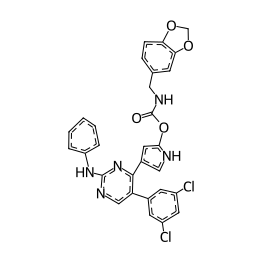 O=C(NCc1ccc2c(c1)OCO2)Oc1cc(-c2nc(Nc3ccccc3)ncc2-c2cc(Cl)cc(Cl)c2)c[nH]1